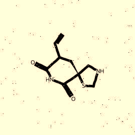 C=CC1C[C@]2(CNCS2)C(=O)NC1=O